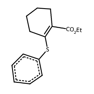 CCOC(=O)C1=C(Sc2ccccc2)CCCC1